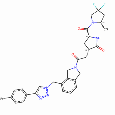 CC(C)c1ccc(-c2cn(Cc3cccc4c3CN(C(=O)C[C@@H]3C[C@@H](C(=O)N5CC(F)(F)C[C@H]5C#N)NC3=O)C4)nn2)cc1